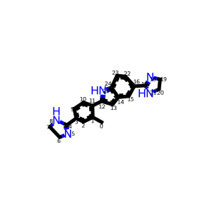 Cc1cc(C2=NCCN2)ccc1-c1cc2cc(C3=NCCN3)ccc2[nH]1